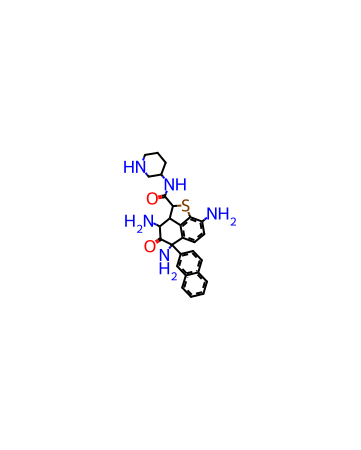 Nc1ccc2c3c1SC(C(=O)NC1CCCNC1)C3C(N)C(=O)C2(N)c1ccc2ccccc2c1